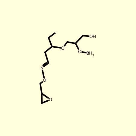 BOC(CO)COC(CC)C/C=N/OCC1CO1